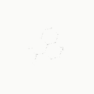 O=C(O)C1CCNC2CCCCC21